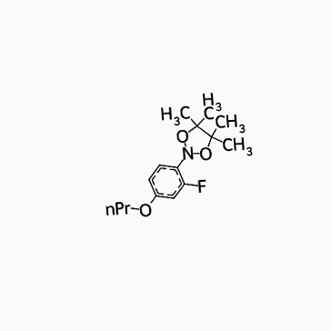 CCCOc1ccc(N2OC(C)(C)C(C)(C)O2)c(F)c1